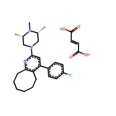 C[C@@H]1CN(c2cc(-c3ccc(F)cc3)c3c(n2)CCCCCC3)C[C@H](C)N1C.O=C(O)C=CC(=O)O